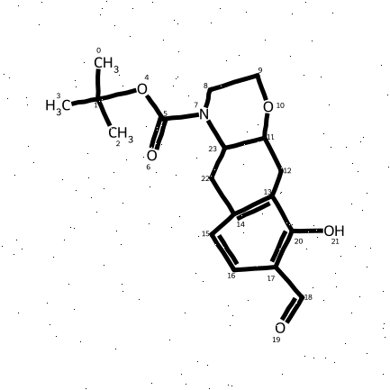 CC(C)(C)OC(=O)N1CCOC2Cc3c(ccc(C=O)c3O)CC21